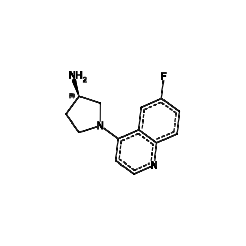 N[C@@H]1CCN(c2ccnc3ccc(F)cc23)C1